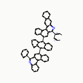 C/C=C\C(=C/C)c1nc2cc3ccccc3cc2c2c1cc(-c1c3ccccc3c(-c3cc4c(-c5ccccc5)nc5ccccc5c4c4ccccc34)c3ccccc13)c1ccccc12